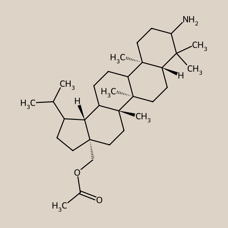 CC(=O)OC[C@]12CCC(C(C)C)[C@@H]1C1CCC3[C@@]4(C)CCC(N)C(C)(C)[C@@H]4CC[C@@]3(C)[C@]1(C)CC2